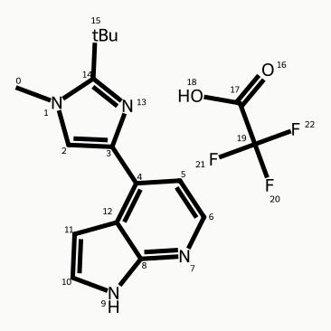 Cn1cc(-c2ccnc3[nH]ccc23)nc1C(C)(C)C.O=C(O)C(F)(F)F